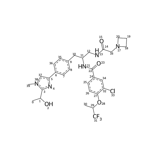 CC(O)c1nc(-c2ccc(CC(CNC(=O)CN3CCC3)NC(=O)c3ccc(OC(C)C(F)(F)F)c(Cl)c3)cc2)cn1C